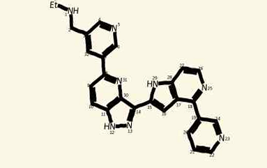 CCNCc1cncc(-c2ccc3[nH]nc(-c4cc5c(-c6cccnc6)nccc5[nH]4)c3n2)c1